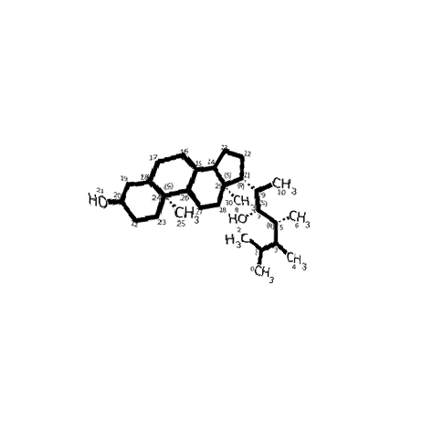 CC(C)C(C)[C@@H](C)[C@H](O)C(C)[C@H]1CCC2C3CCC4CC(O)CC[C@]4(C)C3CC[C@@]21C